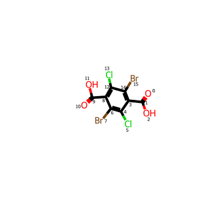 O=C(O)c1c(Cl)c(Br)c(C(=O)O)c(Cl)c1Br